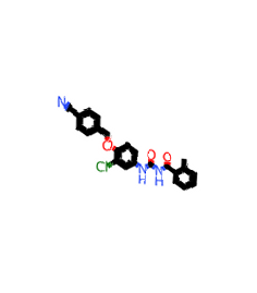 Cc1ccccc1C(=O)NC(=O)Nc1ccc(OCc2ccc(C#N)cc2)c(Cl)c1